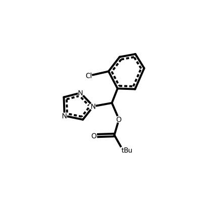 CC(C)(C)C(=O)OC(c1ccccc1Cl)n1cncn1